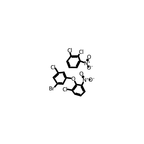 O=[N+]([O-])c1cccc(Cl)c1Cl.O=[N+]([O-])c1cccc(Cl)c1Oc1cc(Cl)cc(Br)c1